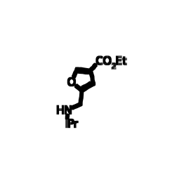 CCOC(=O)c1coc(CNC(C)C)c1